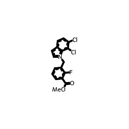 COC(=O)c1cccc(Cn2ccc3ccc(Cl)c(Cl)c32)c1F